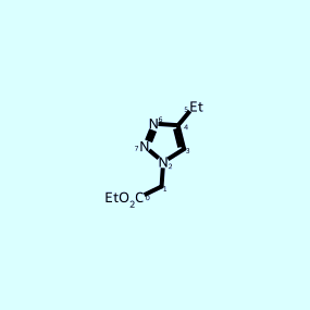 CCOC(=O)Cn1cc(CC)nn1